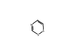 C1=CSSC=N1